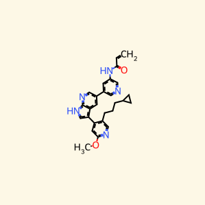 C=CC(=O)Nc1cncc(-c2cnc3[nH]cc(-c4cc(OC)ncc4CCCC4CC4)c3c2)c1